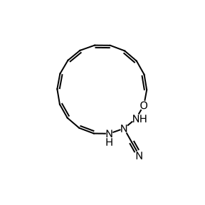 N#Cn1[nH]cccccccccccccco[nH]1